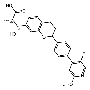 COc1cc(-c2ccc(C3CCc4ccc([C@H](O)[C@H](C)C(=O)O)cc4O3)cc2)c(F)cn1